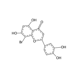 O=c1cc(-c2ccc(O)c(O)c2)oc2c(Br)c(O)cc(O)c12